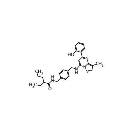 CCCC(CC)C(=O)NCc1ccc(CNc2cc(-c3ccccc3O)nc3c(C)cnn23)cc1